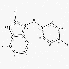 Cc1nc2ccccc2n1Cc1ccc(I)cc1